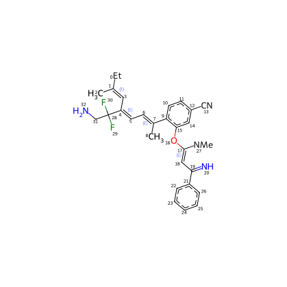 CC/C(C)=C/C(=C\C=C(/C)c1ccc(C#N)cc1O/C(=C/C(=N)c1ccccc1)NC)C(F)(F)CN